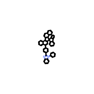 c1ccc(-n2c(-c3ccc(-c4cc5c(c6ccccc46)-c4ccc6ccccc6c4C54c5ccccc5-c5ccccc54)cc3)nc3ccccc32)cc1